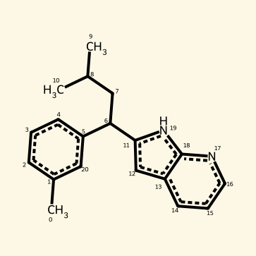 Cc1cccc(C(CC(C)C)c2cc3cccnc3[nH]2)c1